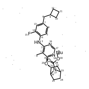 Cc1c(Nc2ccc(CC3CCC3)cc2F)ncnc1O[C@H]1CC2CCC1N2C(=O)OC(C)(C)C